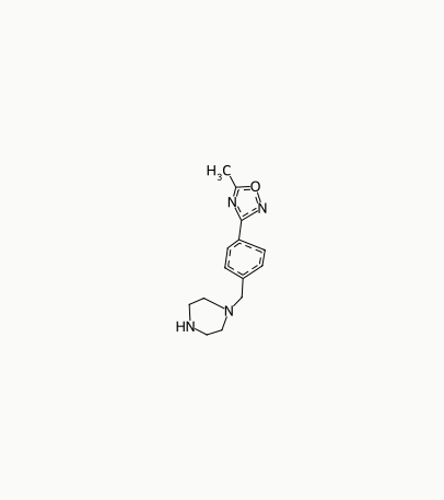 Cc1nc(-c2ccc(CN3CCNCC3)cc2)no1